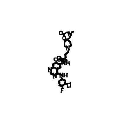 COc1cc2ncnc(Nc3ccc(F)c(Cl)c3)c2cc1NC(=O)/C=C/CN1CCC2(CC1)CN(C)CC(=O)O2